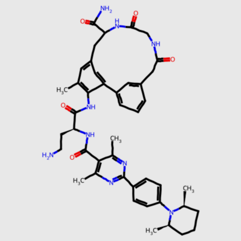 Cc1cc2cc(c1NC(=O)[C@H](CCN)NC(=O)c1c(C)nc(-c3ccc(N4[C@H](C)CCC[C@@H]4C)cc3)nc1C)-c1cccc(c1)CC(=O)NCC(=O)NC(C(N)=O)C2